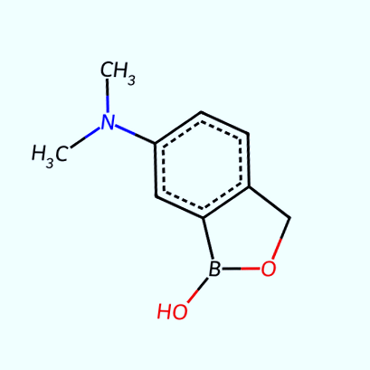 CN(C)c1ccc2c(c1)B(O)OC2